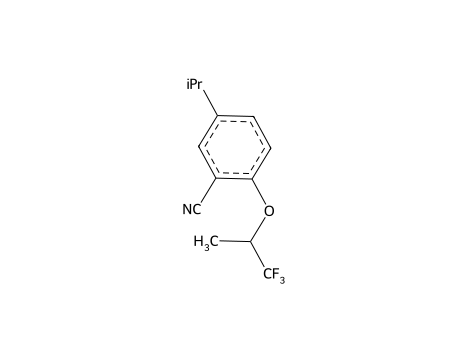 CC(C)c1ccc(OC(C)C(F)(F)F)c(C#N)c1